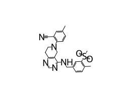 Cc1ccc(N2CCc3ncnc(NCc4ccc(C)c(S(C)(=O)=O)c4)c3C2)c(C#N)c1